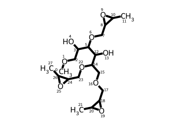 COCC(O)C(OCC1OC1C)C(O)C(COCC1OC1C)OCC1OC1C